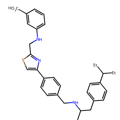 CCC(CC)c1ccc(CC(C)NCc2ccc(-c3csc(CNc4cccc(C(=O)O)c4)n3)cc2)cc1